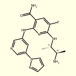 C[C@H](Nc1nc(Nc2cncc(-n3cccn3)c2)c(C(N)=O)cc1F)[C@@H](C)N